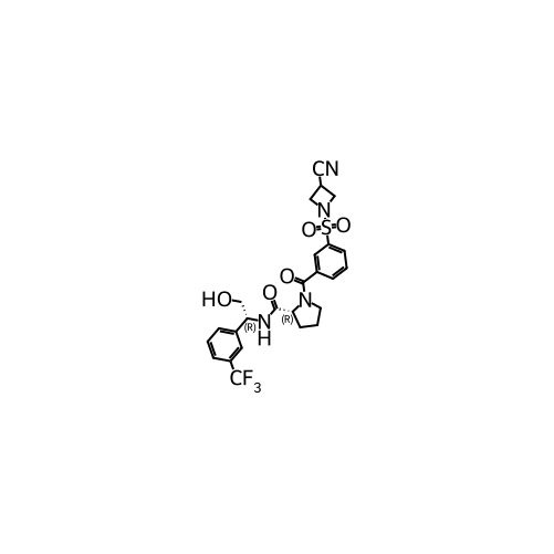 N#CC1CN(S(=O)(=O)c2cccc(C(=O)N3CCC[C@@H]3C(=O)N[C@@H](CO)c3cccc(C(F)(F)F)c3)c2)C1